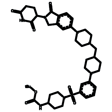 CC(C)(C)OC(=O)NC1CCN(S(=O)(=O)c2cccc(N3CCC(CN4CCN(c5ccc6c(c5)CN(C5CCC(=O)NC5=O)C6=O)CC4)CC3)c2)CC1